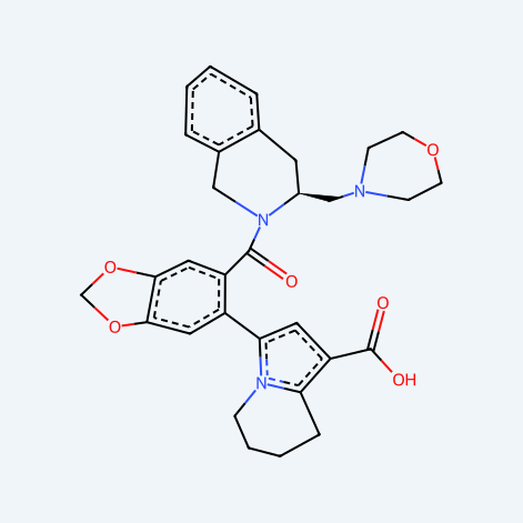 O=C(O)c1cc(-c2cc3c(cc2C(=O)N2Cc4ccccc4C[C@H]2CN2CCOCC2)OCO3)n2c1CCCC2